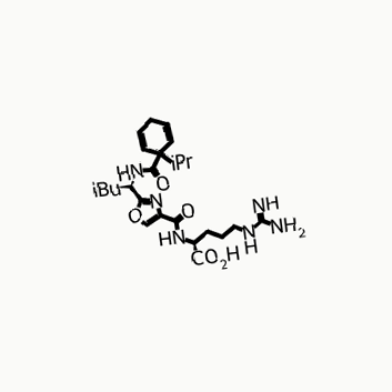 CC[C@H](C)[C@H](NC(=O)C1(C(C)C)C=CCC=C1)c1nc(C(=O)N[C@@H](CCCNC(=N)N)C(=O)O)co1